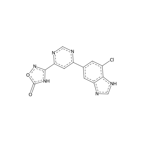 O=c1[nH]c(-c2cc(-c3cc(Cl)c4[nH]cnc4c3)ncn2)no1